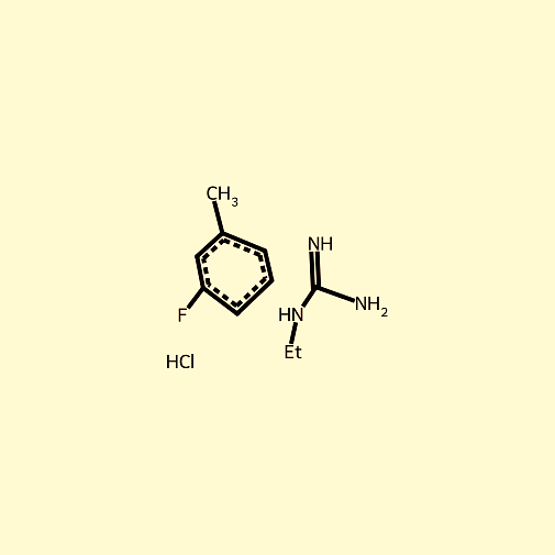 CCNC(=N)N.Cc1cccc(F)c1.Cl